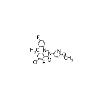 COc1ccc(N2CN(c3ccc(F)cc3C)c3ccc(Cl)c(F)c3C2=O)cn1